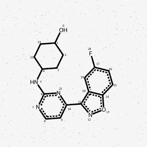 OC1CCC(Nc2nccc(-c3noc4ccc(F)cc34)n2)CC1